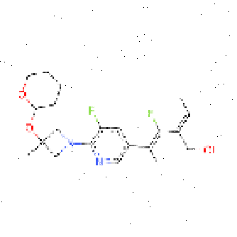 C/C=C(CO)\C(F)=C(/C)c1cnc(N2CC(C)(OC3CCCCO3)C2)c(F)c1